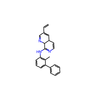 C=CC1=CC2C=CN=C(Nc3cccc(-c4ccccc4)c3C)C2N=C1